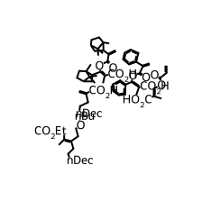 C=C(C(=O)OC(=C(C)C(=O)O)C1CC2CCC1(C)C2(C)C)C1CC2CCC1(C)C2(C)C.C=C(C(=O)OC(=C(C)C(=O)O)c1ccccc1)c1ccccc1.C=C(CCCCCCCCCCCC)C(=O)O.C=CC(=O)OC=C(C)C(=O)O.CCCCCCCCCCCCC(CCOCCCC)=C(C)C(=O)OCC